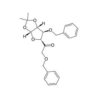 CC1(C)O[C@H]2O[C@H](C(=O)COCc3ccccc3)[C@H](OCc3ccccc3)[C@H]2O1